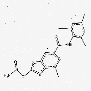 Cc1cc(C)c(NC(=O)c2cc(C)c3nc(OC(N)=O)sc3c2)c(C)c1